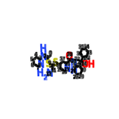 C=C(Nc1ccccn1)S/C(=C\N)Sc1ccnc(C(=O)NCC(O)(c2ccccc2)c2ccccc2)c1